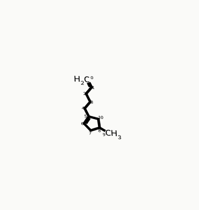 C=CCCCC1=CCC(C)C1